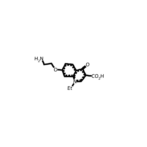 CCn1cc(C(=O)O)c(=O)c2ccc(OCCN)cc21